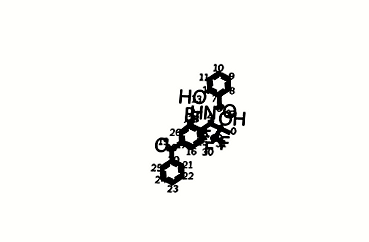 CC(O)(C(NC(=O)c1ccccc1O)c1ccc(C(=O)c2ccccc2)cc1Br)C(F)(F)F